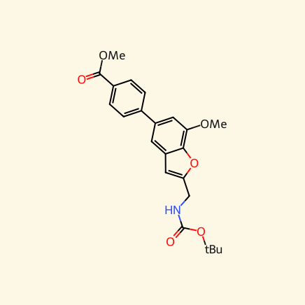 COC(=O)c1ccc(-c2cc(OC)c3oc(CNC(=O)OC(C)(C)C)cc3c2)cc1